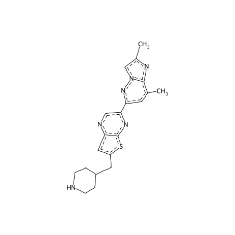 Cc1cn2nc(-c3cnc4cc(CC5CCNCC5)sc4n3)cc(C)c2n1